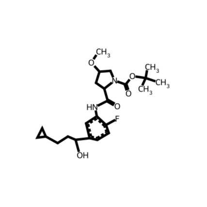 COC1CC(C(=O)Nc2cc(C(O)CCC3CC3)ccc2F)N(C(=O)OC(C)(C)C)C1